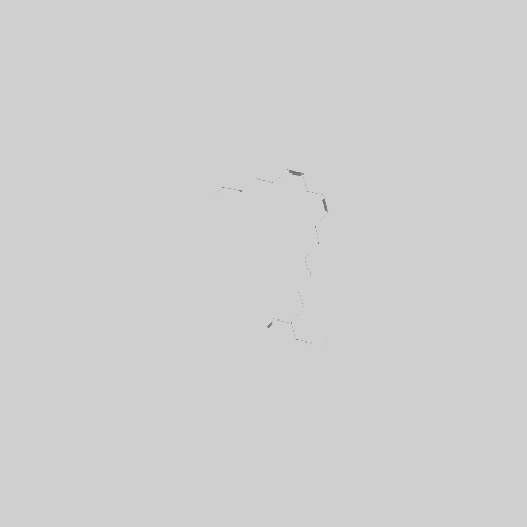 CCCCC/C=C\C/C=C\CCCCCCC([C]=O)C(C)C